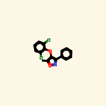 Cc1onc(-c2ccccc2)c1Oc1c(Cl)cccc1Cl